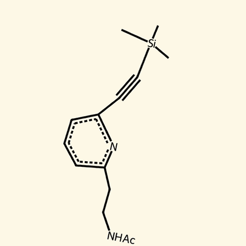 CC(=O)NCCc1cccc(C#C[Si](C)(C)C)n1